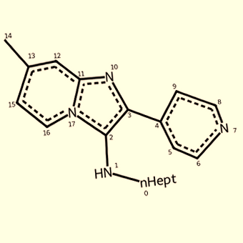 CCCCCCCNc1c(-c2ccncc2)nc2cc(C)ccn12